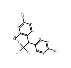 FC(F)(F)C(c1ccc(Cl)cc1)c1ccc(Cl)cc1Cl